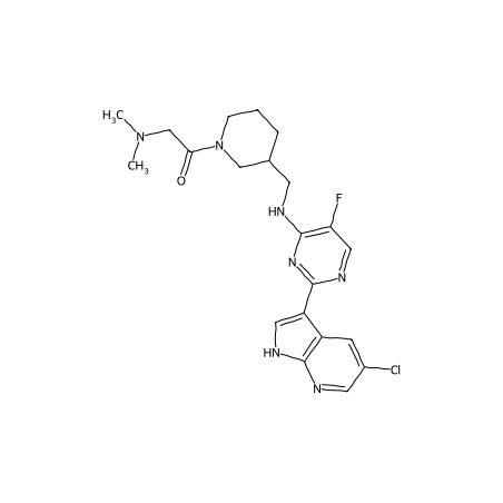 CN(C)CC(=O)N1CCCC(CNc2nc(-c3c[nH]c4ncc(Cl)cc34)ncc2F)C1